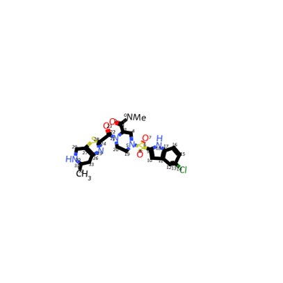 CNC(=O)C1CN(S(=O)(=O)c2cc3cc(Cl)ccc3[nH]2)CCN1C(=O)c1nc2c(s1)CNC(C)C2